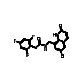 O=C(Cc1c(F)cc(F)cc1F)NCc1cc(Cl)cc2ccc(=O)[nH]c12